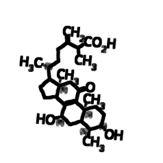 C=C(CC[C@@H](C)C1CCC2C3=C(C(=O)C[C@@]21C)[C@@]1(C)CC[C@H](O)[C@@H](C)C1C[C@H]3O)C(C)C(=O)O